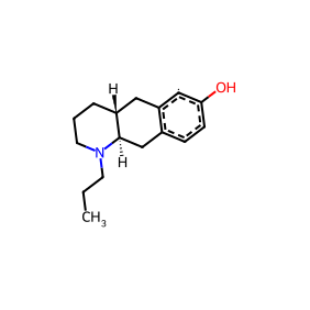 CCCN1CCC[C@@H]2Cc3[c]c(O)ccc3C[C@H]21